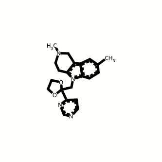 Cc1ccc2c(c1)c1c(n2CC2(c3ccncn3)OCCO2)CCN(C)C1